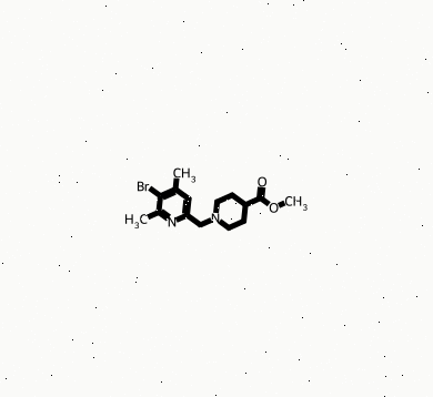 COC(=O)C1CCN(Cc2cc(C)c(Br)c(C)n2)CC1